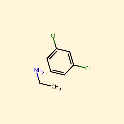 CCN.Clc1cccc(Cl)c1